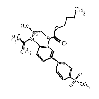 C=C(C)N1c2ccc(-c3ccc(S(C)(=O)=O)cc3)cc2N(C(=O)OCCCC)C[C@@H]1C